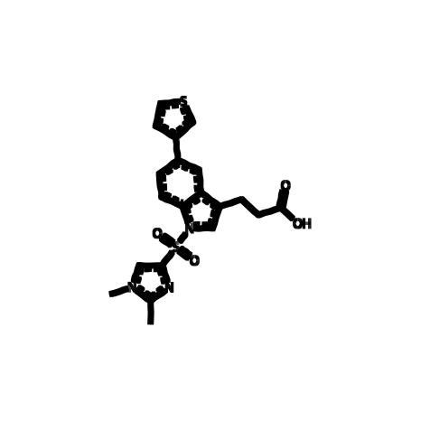 Cc1nc(S(=O)(=O)n2cc(CCC(=O)O)c3cc(-c4ccsc4)ccc32)cn1C